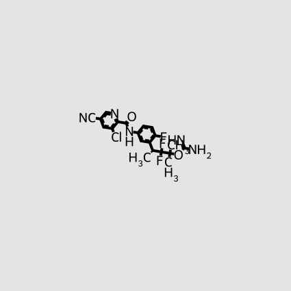 C[C@@H](c1cc(NC(=O)c2ncc(C#N)cc2Cl)ccc1F)C(F)(F)C(C)(C)OC(=N)N